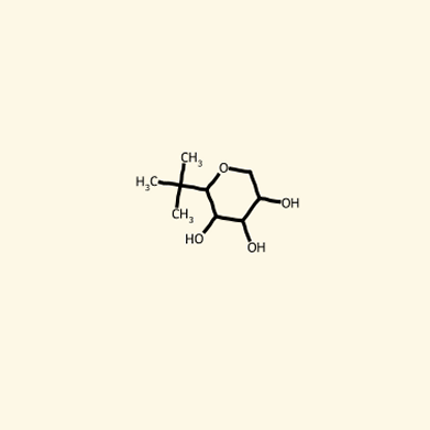 CC(C)(C)C1OCC(O)C(O)C1O